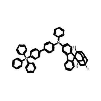 c1ccc(N(c2ccc(-c3ccc([Si](c4ccccc4)(c4ccccc4)c4ccccc4)cc3)cc2)c2ccc3c(c2)-c2ccccc2C32[C@H]3CC4C[C@H](C3)C[C@H]2C4)cc1